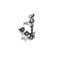 C=CC(=O)N1CCC(N2CC(C#Cc3c(-c4ccc(Oc5cccc(C)n5)cc4)c4c(N)ncnc4n3C)C2)C(O)C1